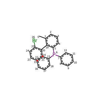 Cc1cccc(P(c2ccccc2)c2ccccc2)c1-c1ccccc1Br